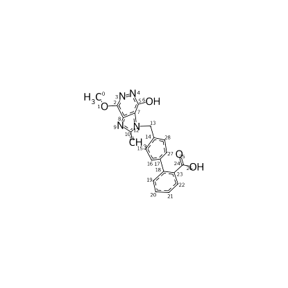 COc1nnc(O)c2c1nc(C)n2Cc1ccc(-c2ccccc2C(=O)O)cc1